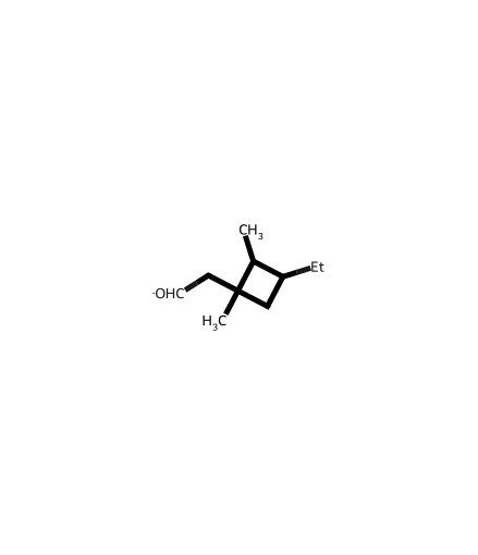 CCC1CC(C)(C[C]=O)C1C